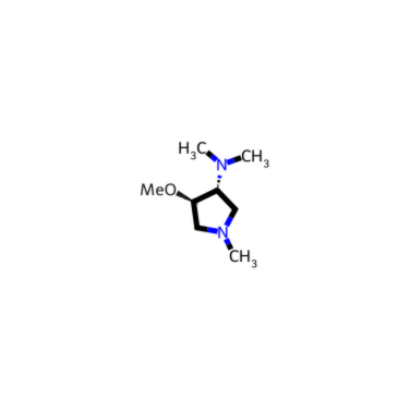 CO[C@@H]1CN(C)C[C@H]1N(C)C